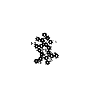 N#Cc1cccc(-c2ccc3c4ccccc4n(-c4cc(-c5ccccc5C#N)cc(-n5c6ccccc6c6ccc(-c7cc(C#N)ccc7-c7ccc(-c8ccc9c(c8)c8cc(-c%10ccccc%10C#N)ccc8n9-c8cc(-c9ccccc9C#N)cc(-n9c%10ccc(-c%11ccccc%11C#N)cc%10c%10cc(-c%11ccccc%11C#N)ccc%109)c8C#N)c(C#N)c7)cc65)c4C#N)c3c2)c1